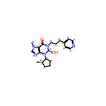 C[C@@H]1CCCC1N1c2ncn(C)c2C(=O)N(CCCc2ccncc2)C1O